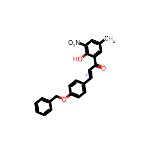 Cc1cc(C(=O)/C=C/c2ccc(OCc3ccccc3)cc2)c(O)c([N+](=O)[O-])c1